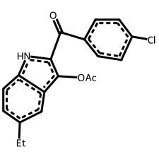 CCc1ccc2[nH]c(C(=O)c3ccc(Cl)cc3)c(OC(C)=O)c2c1